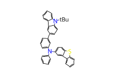 CC(C)(C)n1c2ccccc2c2cc(-c3cccc(N(c4ccccc4)c4ccc5sc6ccccc6c5c4)c3)ccc21